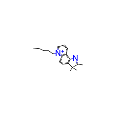 CCCCC[n+]1cccc2c3c(ccc21)C(C)(C)C(C)=N3